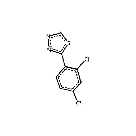 Clc1ccc(-c2nn[c]s2)c(Cl)c1